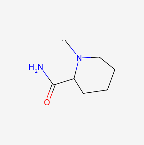 [CH2]N1CCCCC1C(N)=O